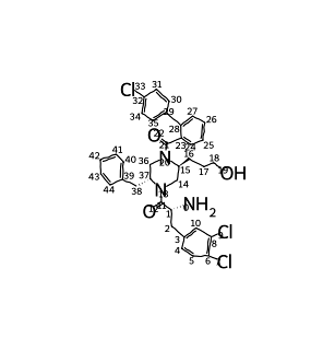 N[C@H](Cc1ccc(Cl)c(Cl)c1)C(=O)N1C[C@H](CCCO)N(C(=O)c2ccccc2-c2ccc(Cl)cc2)C[C@H]1Cc1ccccc1